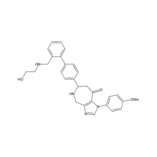 COc1ccc(-n2cnc3c2C(=O)CC(c2ccc(-c4ccccc4CNCCO)cc2)NC3)cc1